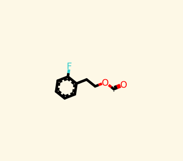 O=[C]OCCc1ccccc1F